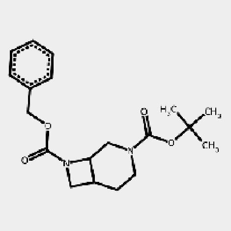 CC(C)(C)OC(=O)N1CCC2CN(C(=O)OCc3ccccc3)C2C1